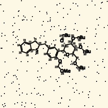 CCCCOCC1OC(c2cc(CC3Cc4ccccc4S3)ccc2OCOC)[C@H](OCCCC)[C@@H](OCCCC)[C@@H]1OCCCC